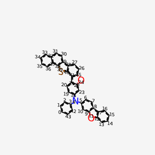 c1ccc(N(c2ccc3c(c2)oc2ccccc23)c2ccc3c(c2)oc2ccc4c5ccc6ccccc6c5sc4c23)cc1